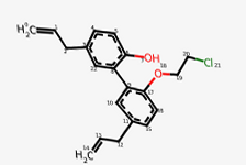 C=CCc1ccc(O)c(-c2cc(CC=C)ccc2OCCCl)c1